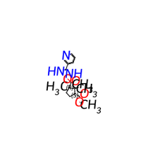 COC(=O)[C@H]1CC[C@@](C)(C(=O)ONC(=N)c2cccnc2)C1(C)C